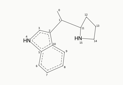 CC(c1c[nH]c2ccccc12)C1CCCN1